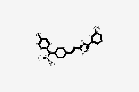 Cc1cccc(-c2noc(/C=C/C3CCC(C(c4ccc(Cl)cc4)N(C)C)CC3)n2)c1